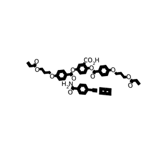 C#Cc1ccc(C(N)=O)cc1.C=CC(=O)OCCCOc1ccc(C(=O)Oc2ccc(OC(=O)c3ccc(OCCCOC(=O)C=C)cc3)c(C(=O)O)c2)cc1.c1cc2ccc1-2